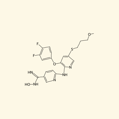 COCCCSc1cnc(Nc2ccc(C(=N)NO)cn2)c(Oc2ccc(F)c(F)c2)c1